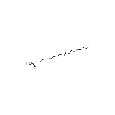 CCCCCCCCC=CCCCCCCCC[CH]C(=O)O